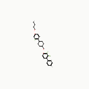 CCCCCOc1ccc(C2CCC(COc3ccc(-c4ccc(C)cc4)c(F)c3F)CC2)c(F)c1